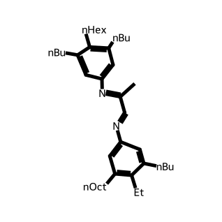 CCCCCCCCc1cc(N=CC(C)=Nc2cc(CCCC)c(CCCCCC)c(CCCC)c2)cc(CCCC)c1CC